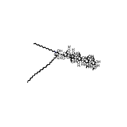 CCCCCCCCCCCCC/C=C/[C@@H](O)[C@H](CO[C@@H]1OC(CO)[C@@H](O[C@@H]2OC(CO)[C@H](O[C@@H]3OC(CO)[C@H](O)[C@H](O[C@@H]4OC(CO)[C@H](O)[C@H](O[C@H]5OC(CO)[C@H](O)[C@H](O)C5NC(C)=O)C4NC(C)=O)C3O)[C@H](O)C2O)[C@H](O)C1O)NC(=O)CCCCCCCCCCCCCCCCCCCCCCC